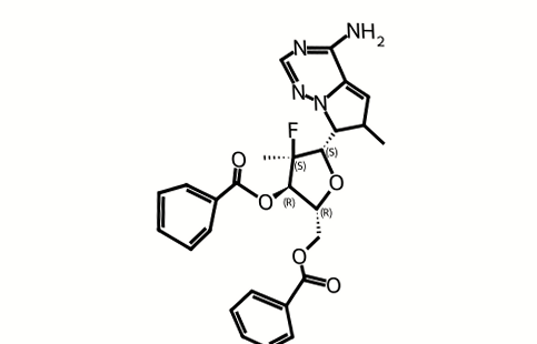 CC1C=C2C(N)=NC=NN2C1[C@@H]1O[C@H](COC(=O)c2ccccc2)[C@@H](OC(=O)c2ccccc2)[C@@]1(C)F